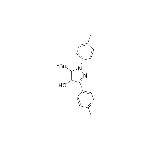 CCCCc1c(O)c(-c2ccc(C)cc2)nn1-c1ccc(C)cc1